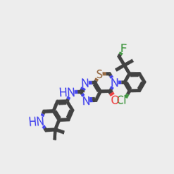 CC1(C)CNCc2cc(Nc3ncc4c(n3)SCN(c3c(Cl)cccc3C(C)(C)CF)C4=O)ccc21